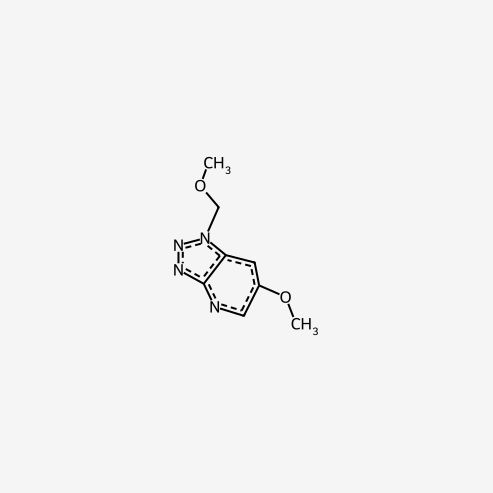 COCn1nnc2ncc(OC)cc21